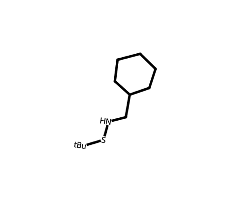 CC(C)(C)SNCC1CCCCC1